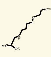 CNC(C)CNCCCSOCCOC